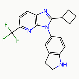 FC(F)(F)c1ccc2nc(C3CCC3)n(-c3ccc4c(c3)CCN4)c2n1